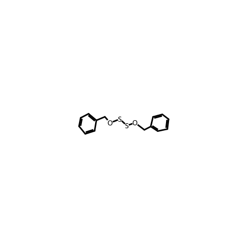 c1ccc(COSSOCc2ccccc2)cc1